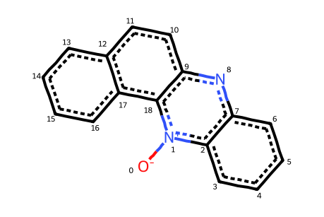 [O-][n+]1c2ccccc2nc2ccc3ccccc3c21